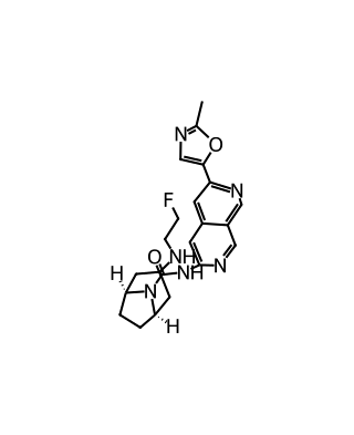 Cc1ncc(-c2cc3cc(NC(=O)N4[C@@H]5CC[C@H]4CC(NCCF)C5)ncc3cn2)o1